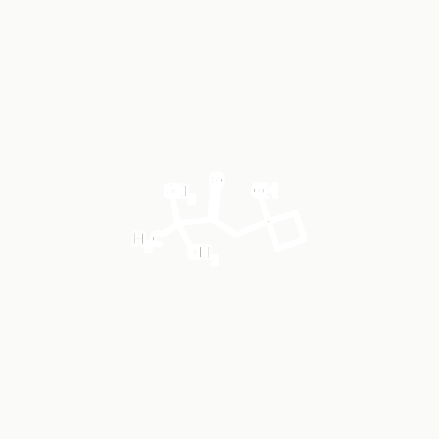 CC(C)(C)C(=O)CC1(O)CCC1